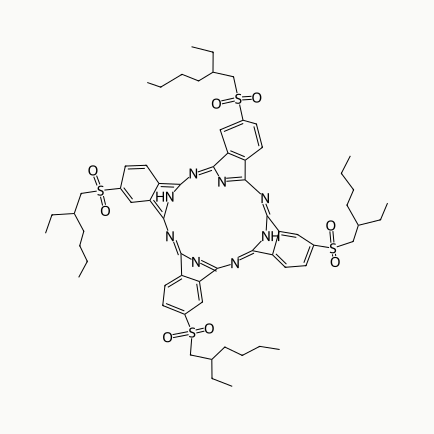 CCCCC(CC)CS(=O)(=O)c1ccc2c(c1)-c1nc-2nc2[nH]c(nc3nc(nc4[nH]c(n1)c1ccc(S(=O)(=O)CC(CC)CCCC)cc41)-c1ccc(S(=O)(=O)CC(CC)CCCC)cc1-3)c1ccc(S(=O)(=O)CC(CC)CCCC)cc21